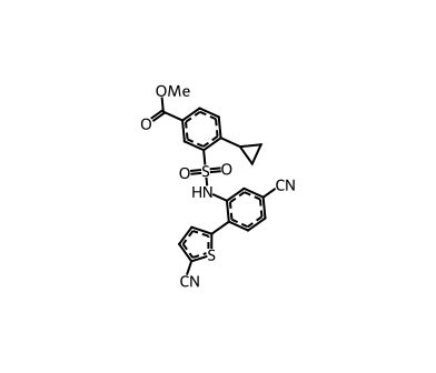 COC(=O)c1ccc(C2CC2)c(S(=O)(=O)Nc2cc(C#N)ccc2-c2ccc(C#N)s2)c1